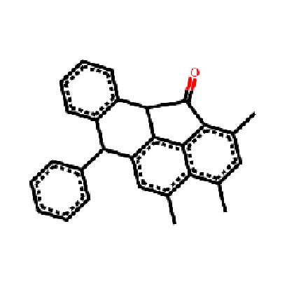 Cc1cc(C)c2c(C)cc3c4c2c1C(=O)C4c1ccccc1C3c1ccccc1